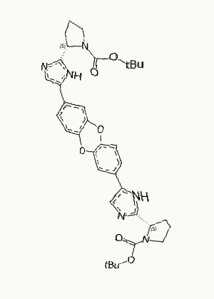 CC(C)(C)OC(=O)N1CCC[C@H]1c1ncc(-c2ccc3c(c2)Oc2ccc(-c4cnc([C@@H]5CCCN5C(=O)OC(C)(C)C)[nH]4)cc2O3)[nH]1